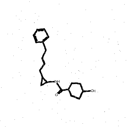 O=C(NC1CC1CCCCc1ccccc1)C1CCC(O)CC1